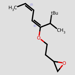 C/C=C\C=C(\OCCC1CO1)C(C)C(C)(C)C